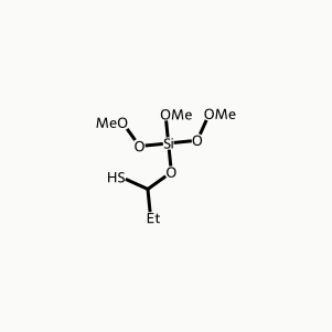 CCC(S)O[Si](OC)(OOC)OOC